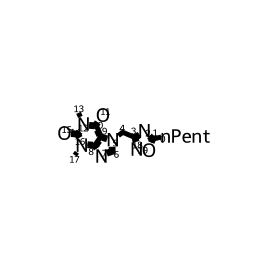 CCCCCc1nc(Cn2cnc3c2c(=O)n(C)c(=O)n3C)no1